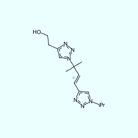 CC(C)n1cc(/C=C/C(C)(C)n2cc(CCO)nn2)nn1